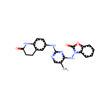 Cc1cnc(Nc2ccc3c(c2)CCC(=O)N3)nc1Nn1c(=O)oc2ccccc21